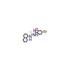 S=C(Nc1cccc2ccccc12)Nc1noc2cc(Br)ccc12